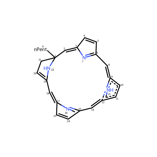 CCCCCC12C=C3C=CC(=N3)C=c3ccc([nH]3)=CC3=NC(=CC(=CC1)N2)C=C3